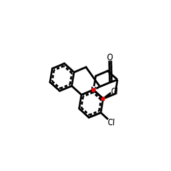 O=C1C2CCN(CC2)C1Cc1ccccc1-c1ccc(Cl)c(Cl)c1